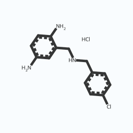 Cl.Nc1ccc(N)c(CNCc2ccc(Cl)cc2)c1